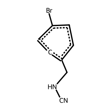 N#CNCc1ccc(Br)cc1